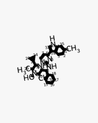 Cc1ccc2c(-c3ccnc(NC(c4ccccc4)C4NC(C5CC5)C(C)N(O)C4C)n3)c[nH]c2c1